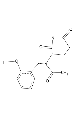 CC(=O)N(Cc1ccccc1OI)C1CCC(=O)NC1=O